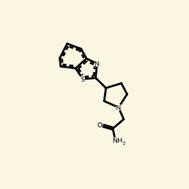 NC(=O)CN1CCC(c2nc3ccccc3s2)C1